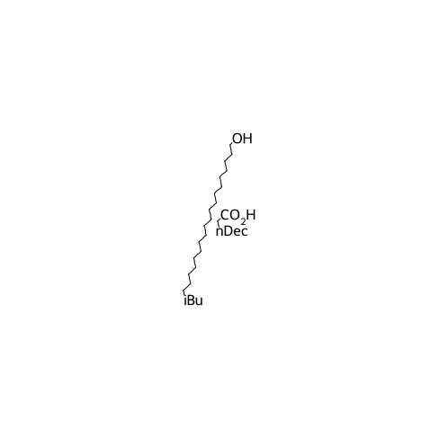 CCC(C)CCCCCCCCCCCCCCCCCCCO.CCCCCCCCCCCC(=O)O